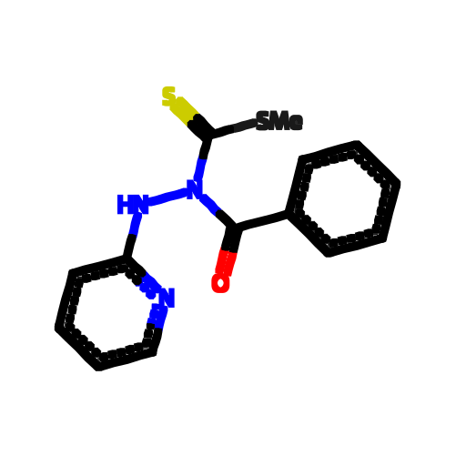 CSC(=S)N(Nc1ccccn1)C(=O)c1ccccc1